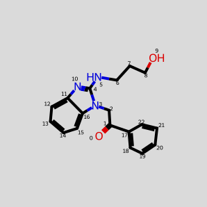 O=C(Cn1c(NCCCO)nc2ccccc21)c1ccccc1